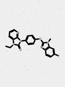 CCn1c(=O)n(-c2ccc(Oc3nc4ccc(F)cc4n3C)cc2)c2ncccc21